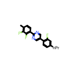 CCCc1ccc(-c2cnc(-c3ccc(C)c(F)c3F)nc2)c(F)c1